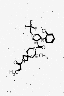 C=CC(=O)N1CC2(CCN(C(=O)[C@H]3CN(CC(F)(F)F)C[C@H]3c3ccccc3Cl)[C@H](C)C2)C1